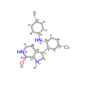 Cn1cc(-c2cc(Cl)ccc2Nc2ccc(F)cc2)c2cc[nH]c(=O)c21